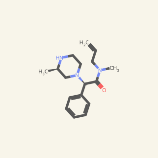 C=CCN(C)C(=O)[C@@H](c1ccccc1)N1CCN[C@H](C)C1